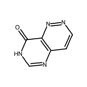 O=c1[nH]cnc2ccnnc12